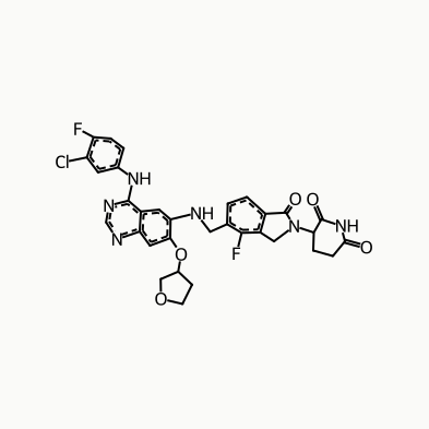 O=C1CCC(N2Cc3c(ccc(CNc4cc5c(Nc6ccc(F)c(Cl)c6)ncnc5cc4OC4CCOC4)c3F)C2=O)C(=O)N1